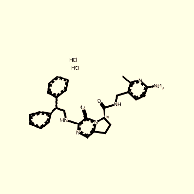 Cc1nc(N)ccc1CNC(=O)[C@H]1CCc2cnc(NCC(c3ccccc3)c3ccccc3)c(=O)n21.Cl.Cl